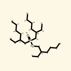 CCCCC(CC)COP(=O)(CC(CC)CCCC)CC(CC)CCCC